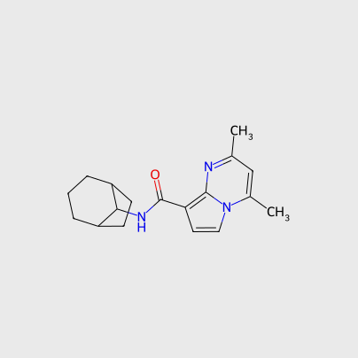 Cc1cc(C)n2ccc(C(=O)NC3C4CCCC3CC4)c2n1